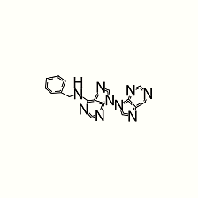 c1ccc(CNc2ncnc3c2ncn3-n2cnc3cncnc32)cc1